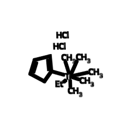 C[CH2][Ti]([CH3])([CH3])([CH3])([CH3])([CH3])[C]1=CC=CC1.Cl.Cl